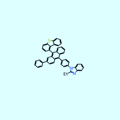 CCc1nc2ccccc2n1-c1ccc(-c2c3ccccc3c(-c3cccc4sc5ccccc5c34)c3cc(-c4ccccc4)ccc23)cc1